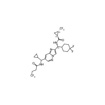 O=C(CCC(F)(F)F)NC(c1cnn2cc([C@@H](NC(=O)[C@H]3C[C@@H]3C(F)(F)F)C3CCC(F)(F)CC3)nc2c1)C1CC1